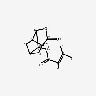 CC(C)=C(C)C(=O)OC1C2CC3C1OC(=O)C3(C(F)(F)F)C2